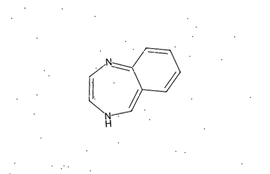 C1=CNC=c2ccccc2=N1